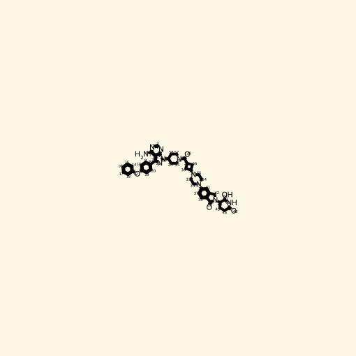 Nc1ncnc2c1c(-c1ccc(Oc3ccccc3)cc1)nn2C1CCN(C(=O)C2CC(N3CCN(c4ccc5c(c4)CN(C4CCC(=O)NC4O)C5=O)CC3)C2)CC1